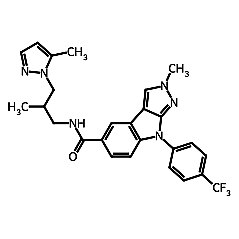 Cc1ccnn1CC(C)CNC(=O)c1ccc2c(c1)c1cn(C)nc1n2-c1ccc(C(F)(F)F)cc1